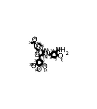 COc1ccc(-n2nc(C(=O)c3cc(OC)c(OC)c(OC)c3)c(N3CCN(C(C)=O)CC3)n2)cc1N